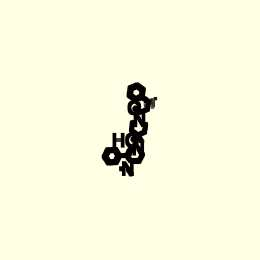 C[C@H](CC(=O)N1CCC(O)(CN2C=C(c3ccccc3)C(N(C)C)=CC2)CC1)c1ccccc1